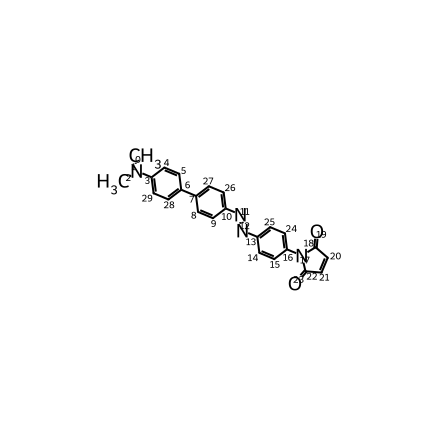 CN(C)c1ccc(-c2ccc(/N=N/c3ccc(N4C(=O)C=CC4=O)cc3)cc2)cc1